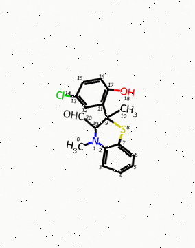 CN1c2ccccc2SC(C)(c2cc(Cl)ccc2O)C1C=O